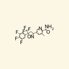 Cc1cc(C2=NOC(c3cc(F)c(F)c(F)c3)(C(F)(F)F)C2)cnc1C(N)=O